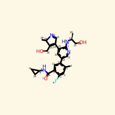 Cc1cc(F)c(C(=O)NC2CC2)cc1-c1cnc(N[C@@H](C)CO)c(C2=C(CO)C(C)N=C2)c1